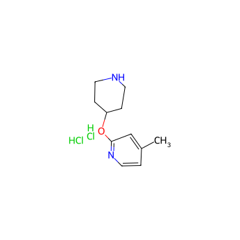 Cc1ccnc(OC2CCNCC2)c1.Cl.Cl